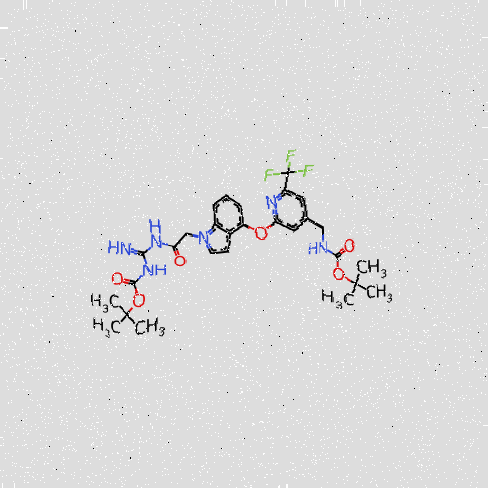 CC(C)(C)OC(=O)NCc1cc(Oc2cccc3c2ccn3CC(=O)NC(=N)NC(=O)OC(C)(C)C)nc(C(F)(F)F)c1